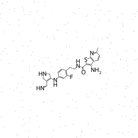 Cc1ccc2c(N)c(C(=O)NCCc3ccc(NC4=C(C=N)CNC4)cc3F)sc2n1